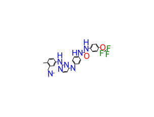 Cc1ccc(Nc2nccc(N(C)c3ccc(NC(=O)Nc4ccc(OC(F)(F)F)cc4)cc3)n2)cc1CN(C)C